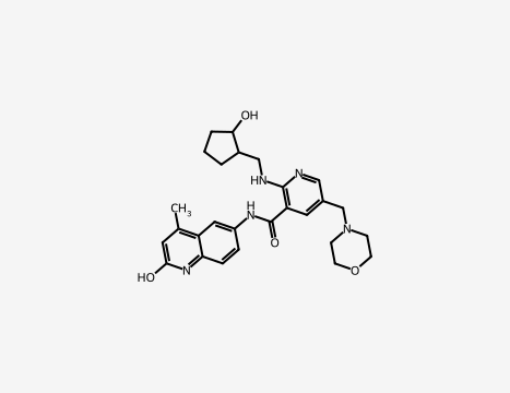 Cc1cc(O)nc2ccc(NC(=O)c3cc(CN4CCOCC4)cnc3NCC3CCCC3O)cc12